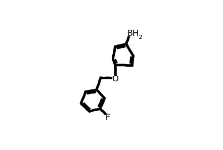 Bc1ccc(OCc2cccc(F)c2)cc1